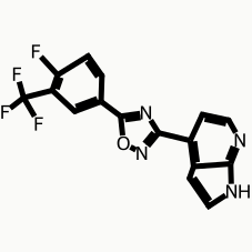 Fc1ccc(-c2nc(-c3ccnc4[nH]ccc34)no2)cc1C(F)(F)F